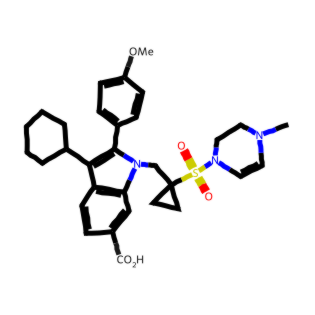 COc1ccc(-c2c(C3CCCCC3)c3ccc(C(=O)O)cc3n2CC2(S(=O)(=O)N3C=CN(C)CC3)CC2)cc1